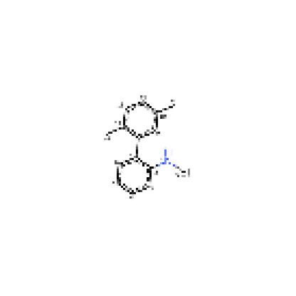 CCNc1ccccc1-c1cc(C)ccc1C